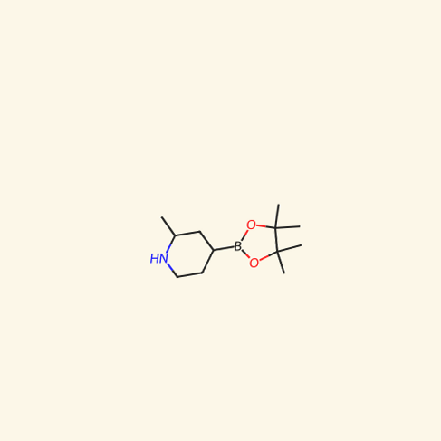 CC1CC(B2OC(C)(C)C(C)(C)O2)CCN1